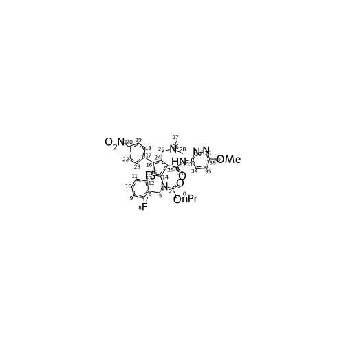 CCCOC(=O)N(Cc1c(F)cccc1F)c1sc(-c2ccc([N+](=O)[O-])cc2)c(CN(C)C)c1C(=O)Nc1ccc(OC)nn1